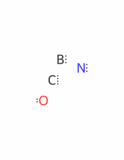 [B].[C].[N].[O]